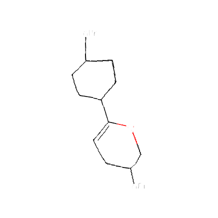 CCCC1CCC(C2=CCC(CCC)CO2)CC1